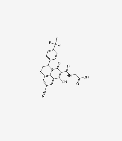 N#Cc1cc2c3c(c1)c(O)c(C(=O)NCC(=O)O)c(=O)n3C(c1ccc(C(F)(F)F)cc1)CS2